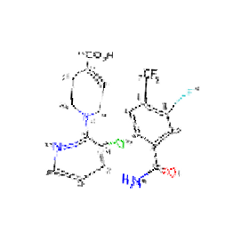 NC(=O)c1ccc(C(F)(F)F)c(F)c1.O=C(O)C1=CCN(c2ncccc2Cl)CC1